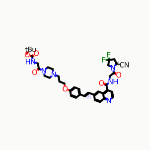 CC(C)(C)OC(=O)NCC(=O)N1CCN(CCCOc2ccc(/C=C/c3ccc4nccc(C(=O)NCC(=O)N5CC(F)(F)C[C@H]5C#N)c4c3)cc2)CC1